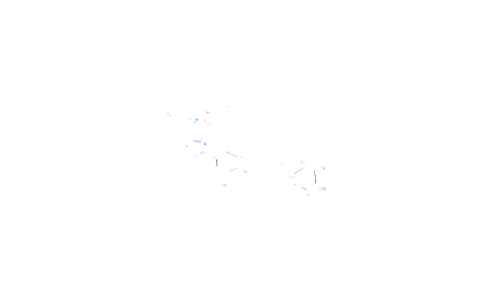 Cc1cc(-c2noc([C@@H]3C[C@@H](O)CN3C(=O)OC(C)(C)C)n2)ccc1OCCCc1ccc(Cl)c(Cl)c1